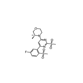 C[C@H]1COCCN1c1cc(-c2cc(F)ccc2S(C)(=O)=O)nc(S(C)(=O)=O)n1